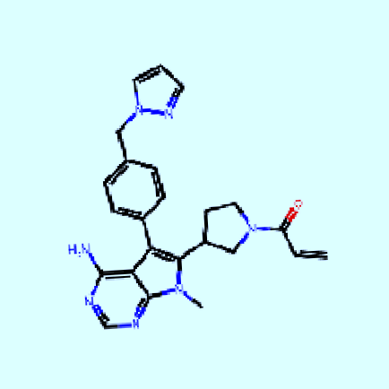 C=CC(=O)N1CCC(c2c(-c3ccc(Cn4cccn4)cc3)c3c(N)ncnc3n2C)C1